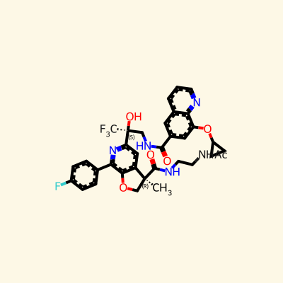 CC(=O)NCCNC(=O)[C@@]1(C)COc2c1cc([C@@](O)(CNC(=O)c1cc(OC3CC3)c3ncccc3c1)C(F)(F)F)nc2-c1ccc(F)cc1